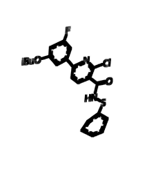 CC(C)COc1cc(F)cc(-c2ccc(C(=O)NSc3ccccc3)c(Cl)n2)c1